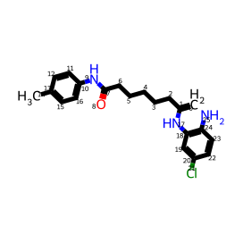 C=C(CCCCCC(=O)Nc1ccc(C)cc1)Nc1cc(Cl)ccc1N